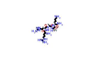 CC(C)[C@H](NC(=O)[C@H](C)NC(=O)[C@@H](CCCNC(=N)N)NC(=O)[C@H](N)CCCNC(=N)N)C(=O)N[C@H](CCCCN)C(N)=O